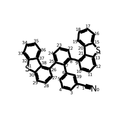 N#Cc1cccc(-c2c(-c3cccc4sc5ccccc5c34)cccc2-c2cccc3sc4ccccc4c23)c1